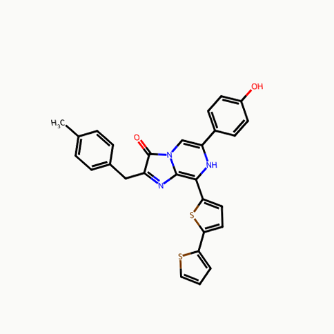 Cc1ccc(Cc2nc3c(-c4ccc(-c5cccs5)s4)[nH]c(-c4ccc(O)cc4)cn-3c2=O)cc1